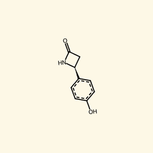 O=C1C[C@@H](c2ccc(O)cc2)N1